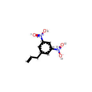 C=CCc1cc([N+](=O)[O-])cc([N+](=O)[O-])c1